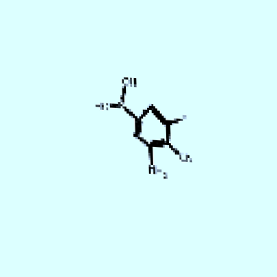 N#Cc1c(N)cc(B(O)O)cc1F